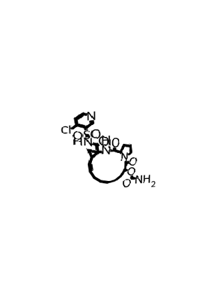 NC(=O)OC1CCCCCC=CC2CC2(C(=O)NS(=O)(=O)c2cnccc2Cl)NC(=O)C2CCCN2C1=O